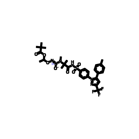 Cc1ccc(-c2cc(C(F)(F)F)nn2-c2ccc(S(=O)(=O)NC(=O)C(C)(C)N(C)/[N+]([O-])=N/OC(C)OC(=O)C(C)(C)C)cc2)cc1